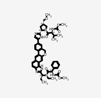 CC[C@@H](c1nc2ccc3cc4c(cc3c2[nH]1)OCc1cc(-c2cnc([C@@H]3C[C@H](COC)CN3C(=O)[C@@H](NC(=O)OC)C(C)C)[nH]2)ccc1-4)N(CC)C(=O)[C@H](NC(=O)OC)c1ccccc1